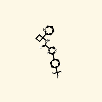 O=C(NC1(c2ccccn2)CCC1)c1csc(-c2ccc(C(F)(F)F)cc2)n1